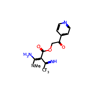 CN/C(N)=C(\C(=N)C(F)(F)F)C(=O)OCC(=O)c1ccncc1